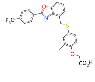 Cc1cc(SCc2cccc3oc(-c4ccc(C(F)(F)F)cc4)nc23)ccc1OCC(=O)O